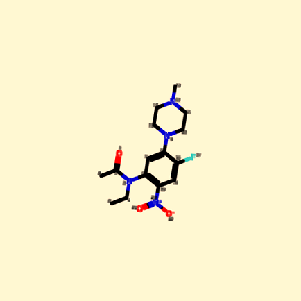 CCN(C(C)=O)c1cc(N2CCN(C)CC2)c(F)cc1[N+](=O)[O-]